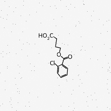 O=C(O)CCCOC(=O)c1ccccc1Cl